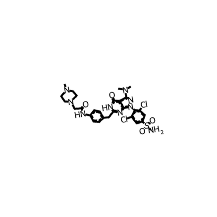 CN1CCN(CC(=O)Nc2ccc(Cc3nc4c(c(N(C)C)nn4-c4c(Cl)cc(S(N)(=O)=O)cc4Cl)c(=O)[nH]3)cc2)CC1